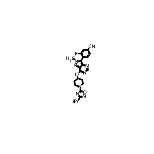 CC(C)c1noc(N2CCC(Oc3ncnc4c(-c5ccc(C#N)cc5F)n(C)nc34)CC2)n1